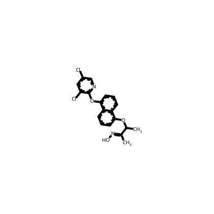 CC(=NO)C(C)Oc1cccc2c(Oc3ncc(Cl)cc3Cl)cccc12